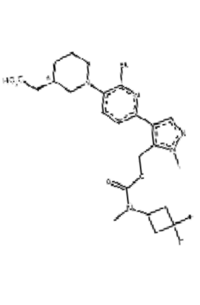 CCc1nc(-c2cnn(C)c2COC(=O)N(C)C2CC(F)(F)C2)ccc1N1CCC[C@H](CC(=O)O)C1